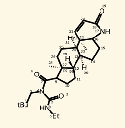 CCNC(=O)N(CC(C)(C)C)C(=O)C1CC[C@H]2[C@@H]3CCC4NC(=O)C=C[C@]4(C)[C@@H]3CC[C@]12C